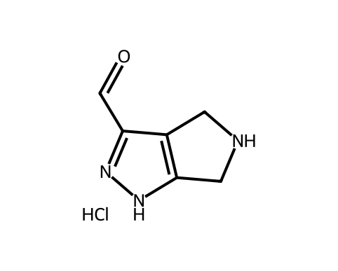 Cl.O=Cc1n[nH]c2c1CNC2